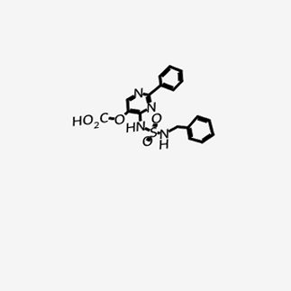 O=C(O)Oc1cnc(-c2ccccc2)nc1NS(=O)(=O)NCc1ccccc1